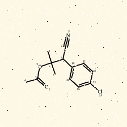 CC(=O)OC(C)(C)C(C#N)c1ccc(Cl)cc1